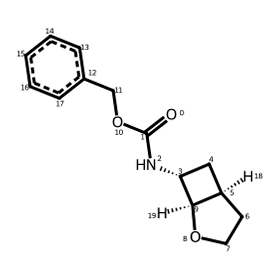 O=C(N[C@@H]1C[C@H]2CCO[C@H]21)OCc1ccccc1